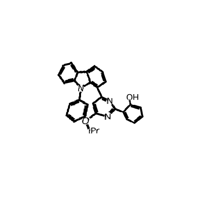 CC(C)Oc1cc(-c2cccc3c4ccccc4n(-c4ccccc4)c23)nc(-c2ccccc2O)n1